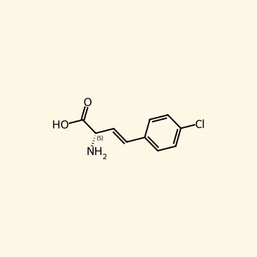 N[C@@H](C=Cc1ccc(Cl)cc1)C(=O)O